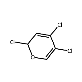 ClC1=COC(Cl)C=C1Cl